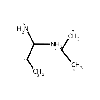 CCC.CCC(N)N